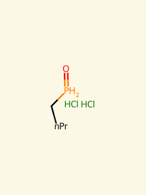 CCCC[PH2]=O.Cl.Cl